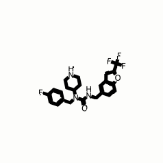 O=C(NCc1ccc2c(c1)CC(C(F)(F)F)O2)N(Cc1ccc(F)cc1)C1CCNCC1